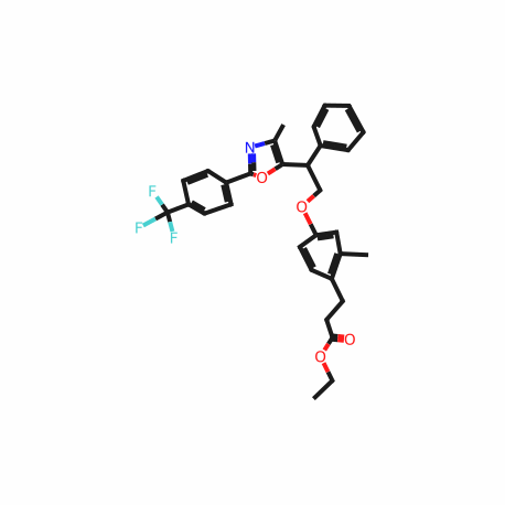 CCOC(=O)CCc1ccc(OCC(c2ccccc2)c2oc(-c3ccc(C(F)(F)F)cc3)nc2C)cc1C